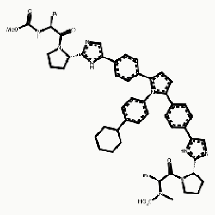 COC(=O)N[C@H](C(=O)N1CCC[C@H]1c1ncc(-c2ccc(-c3ccc(-c4ccc(-c5cnc([C@@H]6CCCN6C(=O)[C@H](C(C)C)N(C)C(=O)O)[nH]5)cc4)n3-c3ccc(C4CCCCC4)cc3)cc2)[nH]1)C(C)C